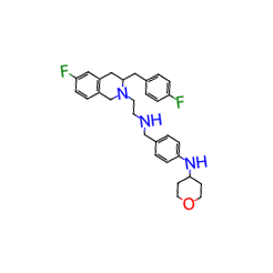 Fc1ccc(CC2Cc3cc(F)ccc3CN2CCNCc2ccc(NC3CCOCC3)cc2)cc1